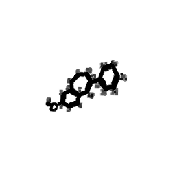 COc1ccc2c(c1)CCCC(c1ccccc1)=C2